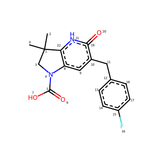 CC1(C)CN(C(=O)O)c2cc(Cc3ccc(F)cc3)c(=O)[nH]c21